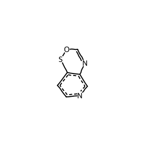 C1=Nc2cnccc2SO1